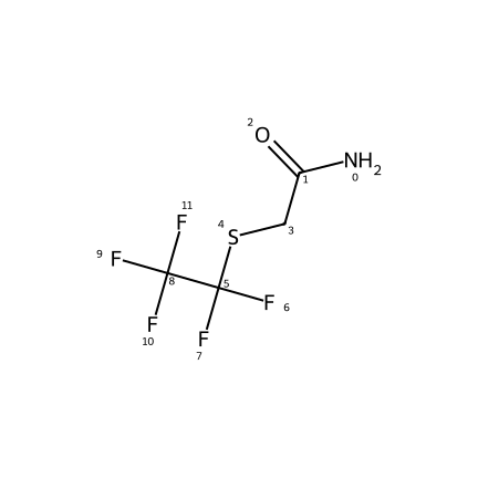 NC(=O)CSC(F)(F)C(F)(F)F